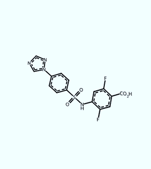 O=C(O)c1cc(F)c(NS(=O)(=O)c2ccc(-n3cncn3)cc2)cc1F